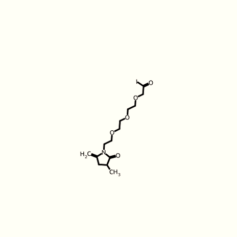 C=C1CC(C)C(=O)N1CCOCCOCCOCC(=O)I